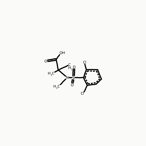 CN(C(C)(C)C(=O)O)S(=O)(=O)c1c(Cl)cccc1Cl